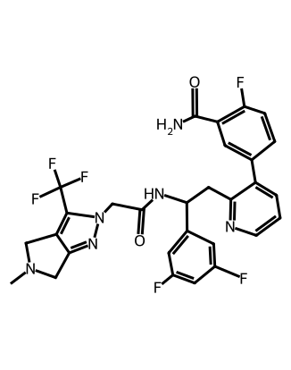 CN1Cc2nn(CC(=O)NC(Cc3ncccc3-c3ccc(F)c(C(N)=O)c3)c3cc(F)cc(F)c3)c(C(F)(F)F)c2C1